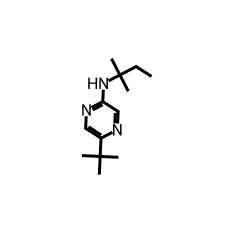 CCC(C)(C)Nc1cnc(C(C)(C)C)cn1